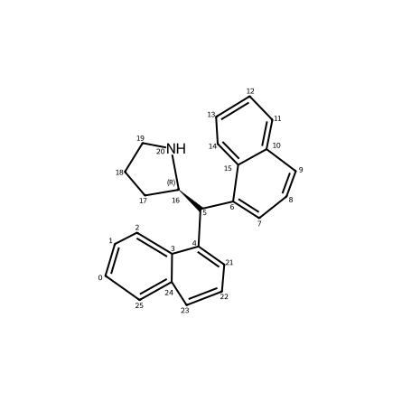 c1ccc2c(C(c3cccc4ccccc34)[C@H]3CCCN3)cccc2c1